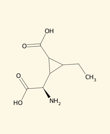 CCC1C(C(=O)O)C1[C@@H](N)C(=O)O